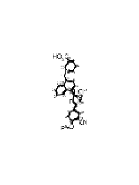 CC(C)Oc1ccc(-c2nc(-c3ccc(CN4CCCC(C(=O)O)C4)c4ccccc34)no2)cc1C#N.Cl